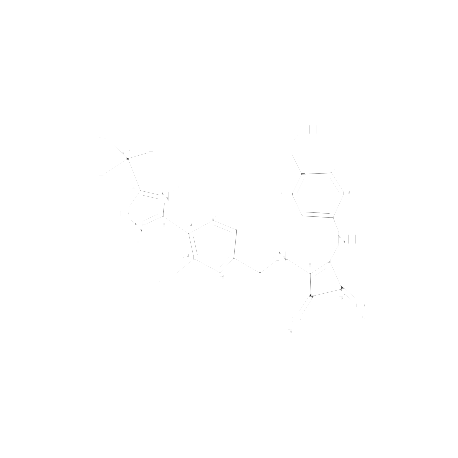 COc1ccc(Nc2c(NCc3ccc(-c4noc(C(F)(F)F)n4)c(F)c3)c(=O)c2=O)cc1